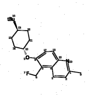 Cc1ccc2c(CF)c(O[C@H]3CC[C@H](C(C)(C)C)CC3)ccc2n1